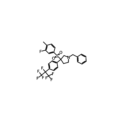 Cc1ccc(S(=O)(=O)C2(c3ccc(C(F)(C(F)(F)F)C(F)(F)F)cc3)CCN(Cc3ccccc3)C2)cc1F